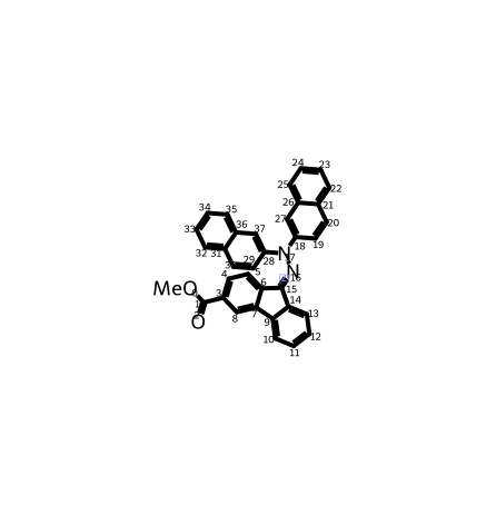 COC(=O)c1ccc2c(c1)-c1ccccc1/C2=N/N(c1ccc2ccccc2c1)c1ccc2ccccc2c1